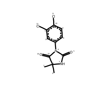 CC1(C)NC(=O)N(c2ccc(Cl)c(Cl)c2)C1=O